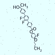 C=CCCOc1ccc(OC(=O)c2ccc(-c3ccc(-c4ccc(C(C)O)cc4)c(F)c3F)cc2)cc1F